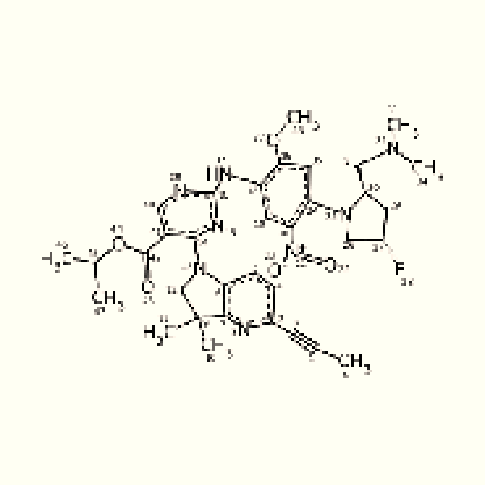 CC#Cc1ccc2c(n1)C(C)(C)CN2c1nc(Nc2cc([N+](=O)[O-])c(N3C[C@@H](F)C[C@@H]3CN(C)C)cc2OC)ncc1C(=O)OC(C)C